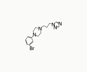 Brc1cccc(N2CCN(CCCn3cncn3)CC2)c1